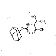 C[C@H](O)[C@@H](NC(=O)OC12CC3CC(CC(C3)C1)C2)C(=O)O